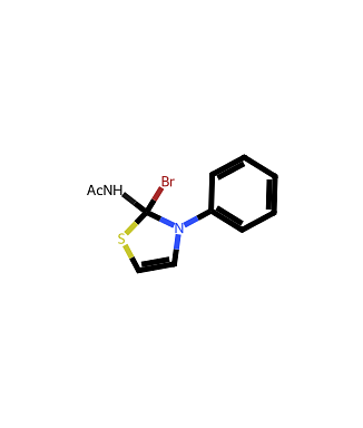 CC(=O)NC1(Br)SC=CN1c1ccccc1